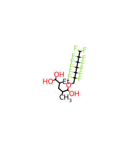 CCC(CC(C)C(O)OCC(F)(F)C(F)(F)C(F)(F)C(F)(F)C(F)(F)C(F)F)C(O)O